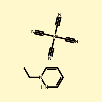 CCN1C=CC=CN1.N#C[B-](C#N)(C#N)C#N